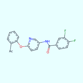 CC(=O)c1ccccc1Oc1ccc(NC(=O)c2ccc(F)c(F)c2)cn1